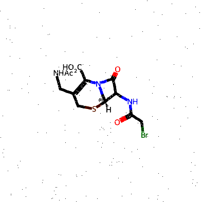 CC(=O)NCC1=C(C(=O)O)N2C(=O)C(NC(=O)CBr)[C@H]2SC1